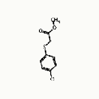 COC(=O)CSc1ccc(Cl)cc1